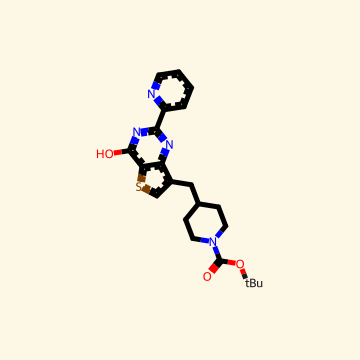 CC(C)(C)OC(=O)N1CCC(Cc2csc3c(O)nc(-c4ccccn4)nc23)CC1